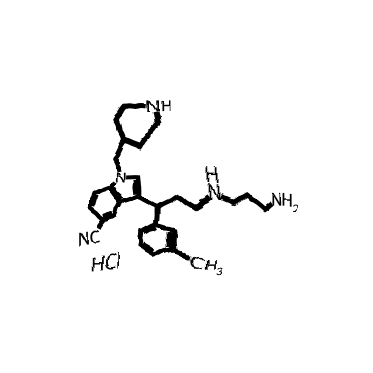 Cc1cccc(C(CCNCCCN)c2cn(CC3CCNCC3)c3ccc(C#N)cc23)c1.Cl